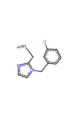 CC(=O)NCc1nccn1Cc1cccc(Cl)c1